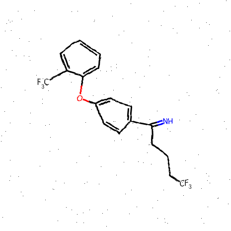 N=C([CH]CCC(F)(F)F)c1ccc(Oc2ccccc2C(F)(F)F)cc1